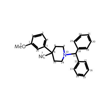 COc1cccc(C2(C#N)CCN(C(c3ccccc3)c3ccccc3)CC2)c1